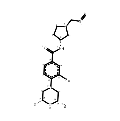 C=NCN1CC[C@@H](NC(=O)c2ccc(N3C[C@@H](C)O[C@@H](C)C3)c(F)c2)C1